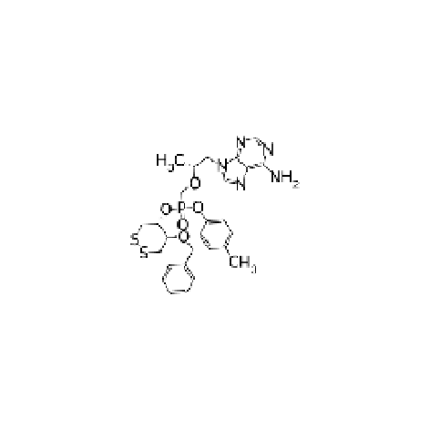 Cc1ccc(OP(=O)(CO[C@H](C)Cn2cnc3c(N)ncnc32)O[C@H]2CSSC[C@@H]2OCc2ccccc2)cc1